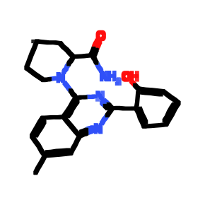 Cc1ccc2c(N3CC[CH]CC3C(N)=O)nc(-c3ccccc3O)nc2c1